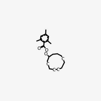 Cc1cc(C)c(C(=O)OO[C]2CCCCCCCCCCC2)c(C)c1